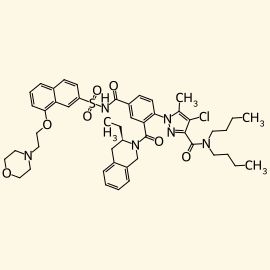 CCCCN(CCCC)C(=O)c1nn(-c2ccc(C(=O)NS(=O)(=O)c3ccc4cccc(OCCN5CCOCC5)c4c3)cc2C(=O)N2Cc3ccccc3C[C@H]2CC)c(C)c1Cl